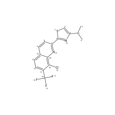 CC(C)c1csc(-c2c[c]c3ccc(C(F)(F)F)c(Cl)c3n2)n1